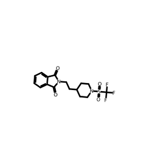 O=C1c2ccccc2C(=O)N1CCC1CCN(S(=O)(=O)C(F)(F)F)CC1